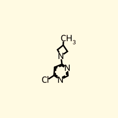 CC1CN(c2cc(Cl)ncn2)C1